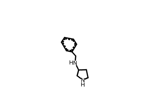 c1ccc(CNC2CCNC2)cc1